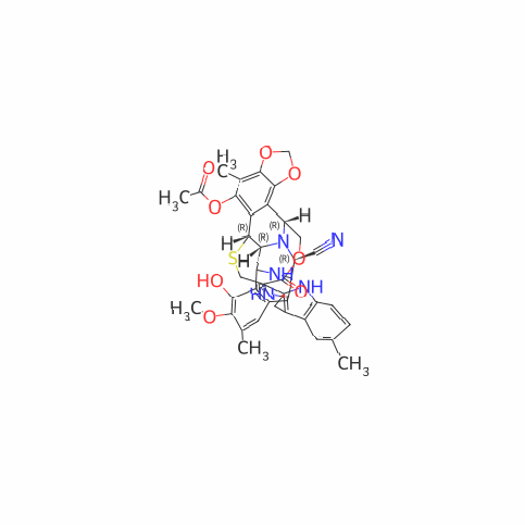 COc1c(C)cc2c(c1O)C1NC(C2)[C@H](C#N)N2[C@H]1[C@@H]1SC[C@]3(NCCc4c3[nH]c3ccc(C)cc43)C(=O)OC[C@H]2c2c3c(c(C)c(OC(C)=O)c21)OCO3